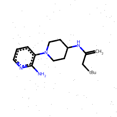 C=C(CC(C)(C)C)NC1CCN(c2cccnc2N)CC1